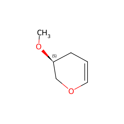 CO[C@H]1CC=COC1